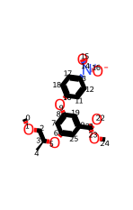 COC[C@H](C)Oc1cc(Oc2ccc([N+](=O)[O-])cc2)cc(C(=O)OC)c1